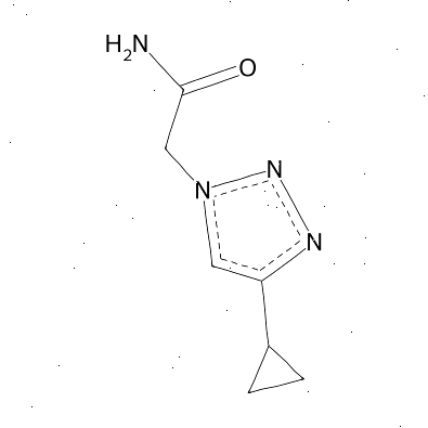 NC(=O)Cn1cc(C2CC2)nn1